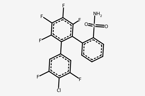 NS(=O)(=O)c1ccccc1-c1c(F)c(F)c(F)c(F)c1-c1cc(F)c(Cl)c(F)c1